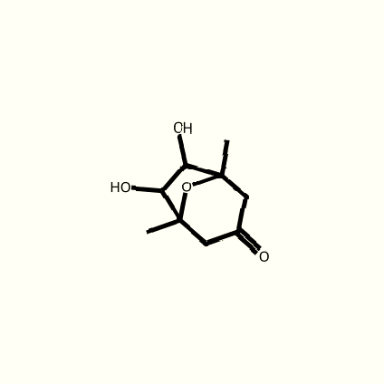 CC12CC(=O)CC(C)(O1)C(O)C2O